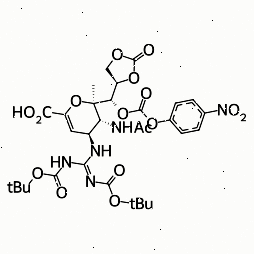 CC(=O)N[C@@H]1[C@@H](N/C(=N\C(=O)OC(C)(C)C)NC(=O)OC(C)(C)C)C=C(C(=O)O)O[C@@]1(C)[C@@H](OC(=O)Oc1ccc([N+](=O)[O-])cc1)[C@H]1COC(=O)O1